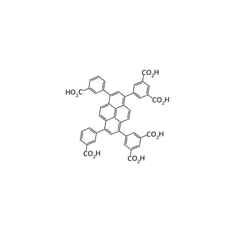 O=C(O)c1cccc(-c2cc(-c3cc(C(=O)O)cc(C(=O)O)c3)c3ccc4c(-c5cc(C(=O)O)cc(C(=O)O)c5)cc(-c5cccc(C(=O)O)c5)c5ccc2c3c54)c1